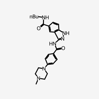 CCCCNC(=O)c1ccc2[nH]nc(NC(=O)c3ccc(N4CCN(C)CC4)cc3)c2c1